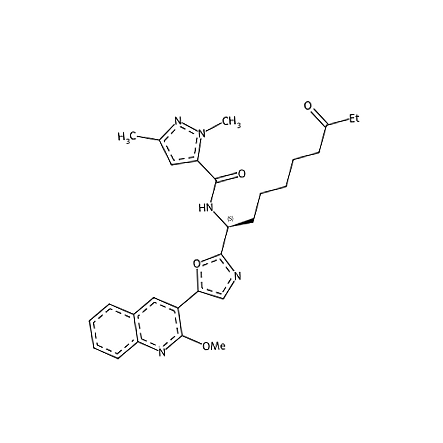 CCC(=O)CCCCC[C@H](NC(=O)c1cc(C)nn1C)c1ncc(-c2cc3ccccc3nc2OC)o1